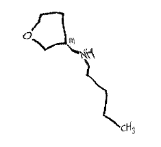 CCCCN[C@@H]1CCOC1